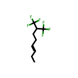 [CH2]CC=CCCC(C(F)(F)F)C(F)(F)F